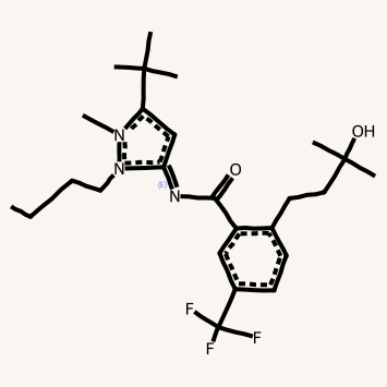 CCCCn1/c(=N/C(=O)c2cc(C(F)(F)F)ccc2CCC(C)(C)O)cc(C(C)(C)C)n1C